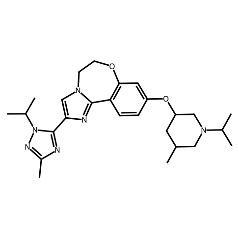 Cc1nc(-c2cn3c(n2)-c2ccc(OC4CC(C)CN(C(C)C)C4)cc2OCC3)n(C(C)C)n1